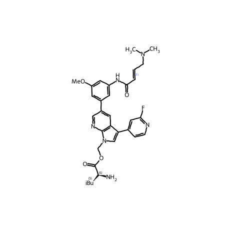 CC[C@H](C)[C@H](N)C(=O)OCn1cc(-c2ccnc(F)c2)c2cc(-c3cc(NC(=O)/C=C/CN(C)C)cc(OC)c3)cnc21